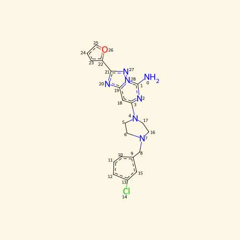 Nc1nc(N2CCN(Cc3cccc(Cl)c3)CC2)cc2nc(-c3ccco3)nn12